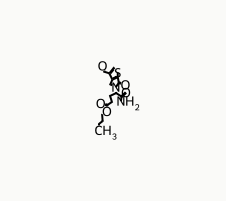 CCCCOC(=O)CCC(C(N)=O)N1Cc2c(C=O)csc2C1=O